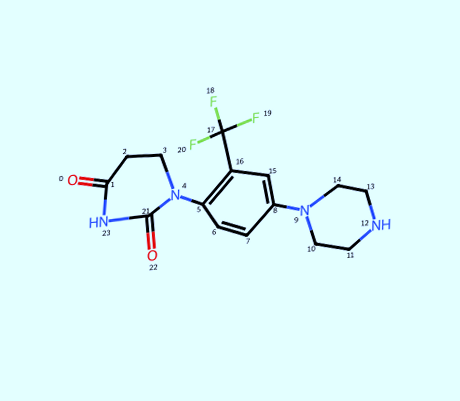 O=C1CCN(c2ccc(N3CCNCC3)cc2C(F)(F)F)C(=O)N1